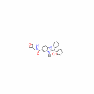 CCn1c(C(O)(c2ccccc2)c2ccccc2)nc2ccc(C(=O)NCC3COC3)cc21